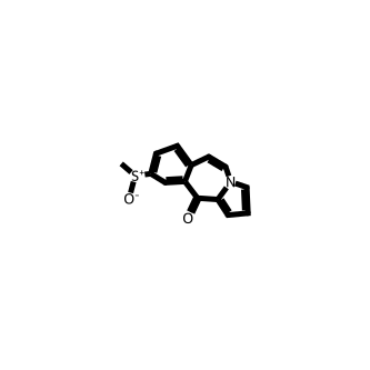 C[S+]([O-])c1ccc2ccn3cccc3c(=O)c2c1